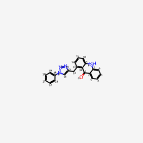 O=c1c2ccccc2[nH]c2cccc(Cc3cn(-c4ccccc4)nn3)c12